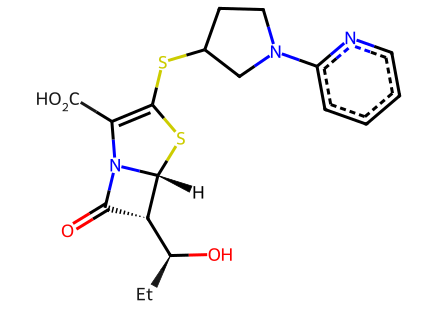 CC[C@H](O)[C@@H]1C(=O)N2C(C(=O)O)=C(SC3CCN(c4ccccn4)C3)S[C@H]12